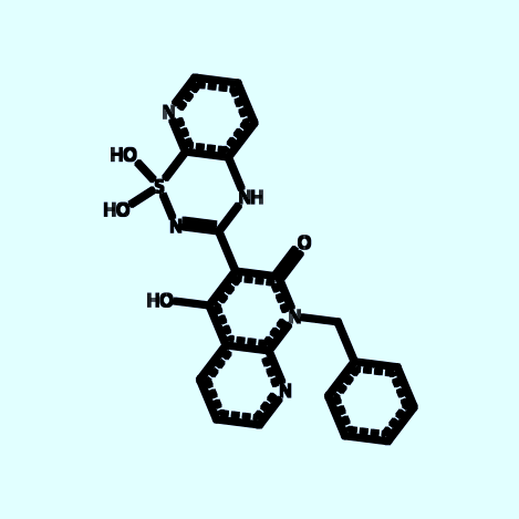 O=c1c(C2=NS(O)(O)c3ncccc3N2)c(O)c2cccnc2n1Cc1ccccc1